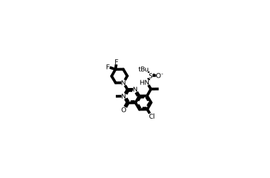 CC(N[S@+]([O-])C(C)(C)C)c1cc(Cl)cc2c(=O)n(C)c(N3CCC(F)(F)CC3)nc12